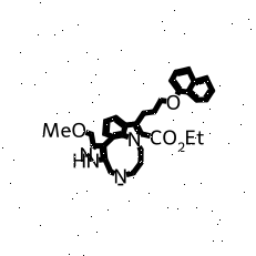 CCOC(=O)c1c(CCCOc2cccc3ccccc23)c2cccc3c2n1CCCN(C)Cc1[nH]nc(COC)c1-3